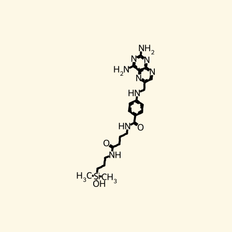 C[Si](C)(O)CCCNC(=O)CCCNC(=O)c1ccc(NCc2cnc3nc(N)nc(N)c3n2)cc1